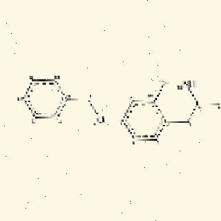 CC1Cc2ccc(OCc3ccccc3)cc2CN1